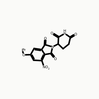 CC(C)Oc1cc2c(c([N+](=O)[O-])c1)C(=O)N(C1CCC(=O)NC1=O)C2=O